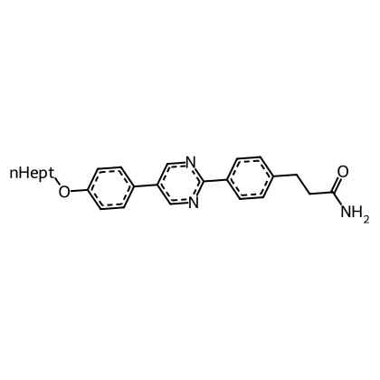 CCCCCCCOc1ccc(-c2cnc(-c3ccc(CCC(N)=O)cc3)nc2)cc1